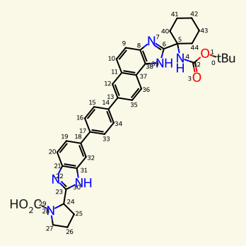 CC(C)(C)OC(=O)NC1(c2nc3ccc4cc(-c5ccc(-c6ccc7nc(C8CCCN8C(=O)O)[nH]c7c6)cc5)ccc4c3[nH]2)CCCCC1